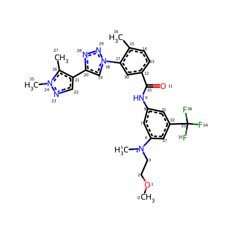 COCCN(C)c1cc(NC(=O)c2ccc(C)c(-n3cc(-c4cnn(C)c4C)nn3)c2)cc(C(F)(F)F)c1